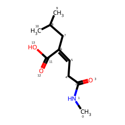 CNC(=O)CC=C(CC(C)C)C(=O)O